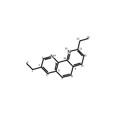 CCc1cnc2c(ccc3ccc(CC)nc32)c1